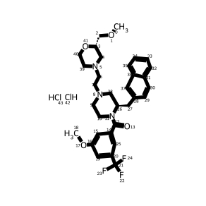 COC[C@@H]1CN(CCN2CCN(C(=O)c3cc(OC)cc(C(F)(F)F)c3)[C@H](Cc3ccc4ccccc4c3)C2)CCO1.Cl.Cl